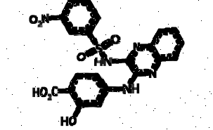 O=C(O)c1ccc(Nc2nc3ccccc3nc2NS(=O)(=O)c2cccc([N+](=O)[O-])c2)cc1O